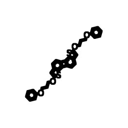 c1ccc(OCCCOc2cc3ccc4c(c3s2)-c2ccc3cc(OCCCOc5ccccc5)sc3c2-4)cc1